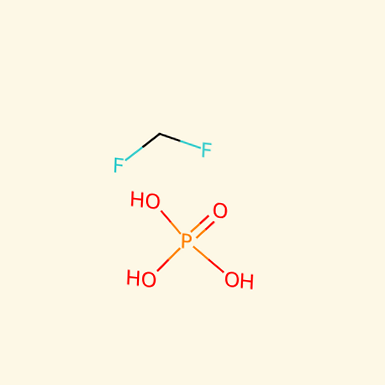 FCF.O=P(O)(O)O